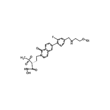 CCOCCNCc1ccc(-c2ccc3c(=O)n(CC[C@H](C(=O)NO)S(C)(=O)=O)ccc3c2)c(F)c1